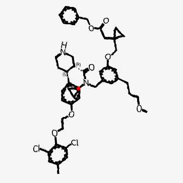 COCCCc1cc(CN(C(=O)[C@H]2CNCC[C@@H]2c2ccc(OCCOc3c(Cl)cc(C)cc3Cl)cc2)C2CC2)cc(OCC2(CC(=O)OCc3ccccc3)CC2)c1